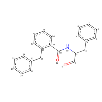 O=CC(Cc1ccccc1)NC(=O)c1ccccc1Cc1ccccc1